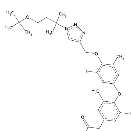 Cc1cc(Oc2c(C)cc(CC(=O)O)cc2I)cc(I)c1OCc1cn(C(C)(C)CCOC(C)(C)C)nn1